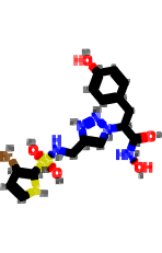 O=C(NO)C(Cc1ccc(O)cc1)n1cc(CNS(=O)(=O)c2sccc2Br)nn1